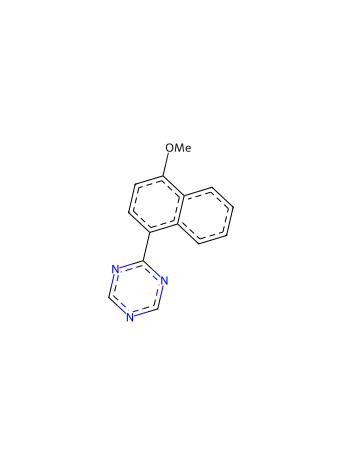 COc1ccc(-c2ncncn2)c2ccccc12